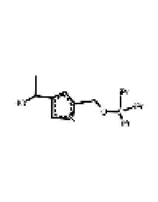 CC(O)c1csc(CO[Si](C(C)C)(C(C)C)C(C)C)c1